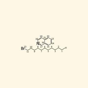 CCCCCCCCCCCCBr.c1ccc2cnccc2c1